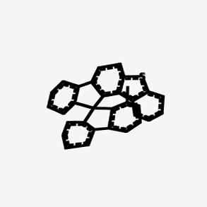 Cc1cccc2c1C1(c3ccccc3-2)c2ccccc2-c2ccc3sc4ccccc4c3c21